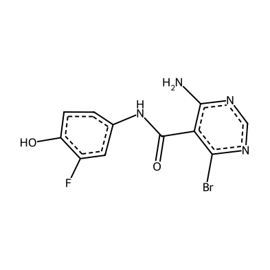 Nc1ncnc(Br)c1C(=O)Nc1ccc(O)c(F)c1